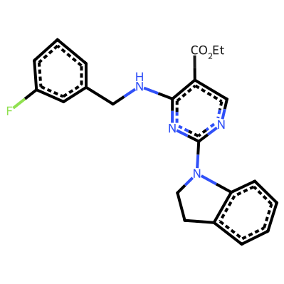 CCOC(=O)c1cnc(N2CCc3ccccc32)nc1NCc1cccc(F)c1